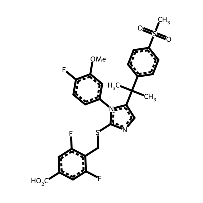 COc1cc(-n2c(C(C)(C)c3ccc(S(C)(=O)=O)cc3)cnc2SCc2c(F)cc(C(=O)O)cc2F)ccc1F